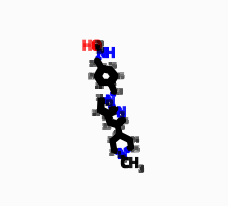 CN1CCC(c2cnc3c(ccn3Cc3ccc(CNO)cc3)c2)CC1